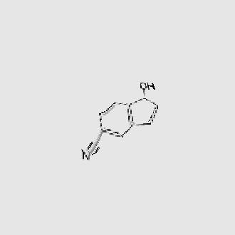 N#Cc1ccc2c(c1)C=CC2O